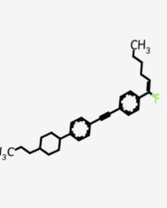 CCCC/C=C(/F)c1ccc(C#Cc2ccc(C3CCC(CCC)CC3)cc2)cc1